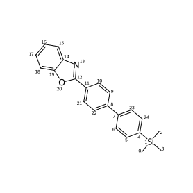 C[Si](C)(C)c1ccc(-c2ccc(-c3nc4ccccc4o3)cc2)cc1